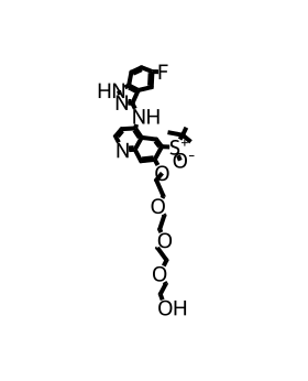 CC(C)(C)[S+]([O-])c1cc2c(Nc3n[nH]c4ccc(F)cc34)ccnc2cc1OCCOCCOCCOCCO